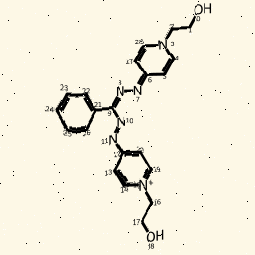 OCCn1ccc(=NN=C(N=Nc2cc[n+](CCO)cc2)c2ccccc2)cc1